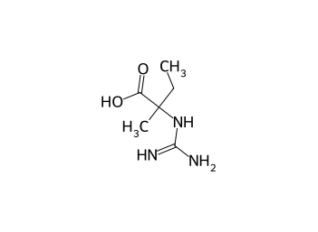 CCC(C)(NC(=N)N)C(=O)O